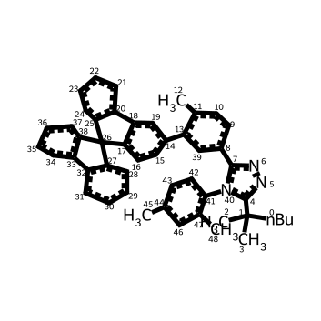 CCCCC(C)(C)c1nnc(-c2ccc(C)c(-c3ccc4c(c3)-c3ccccc3C43c4ccccc4-c4ccccc43)c2)n1-c1ccc(C)cc1C